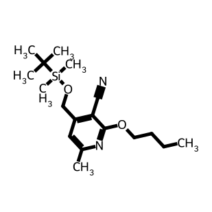 CCCCOc1nc(C)cc(CO[Si](C)(C)C(C)(C)C)c1C#N